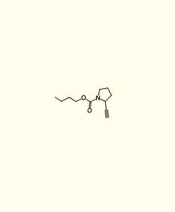 C#CC1CCCN1C(=O)OCCCC